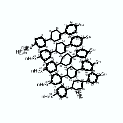 CCCCCCc1ccc(C2CC=C(c3ccc([S])cc3)CC2)cc1.CCCCCCc1ccc(C2CC=C(c3ccc([S])cc3)CC2)cc1.CCCCCCc1ccc(C2CC=C(c3ccc([S])cc3)CC2)cc1.CCCCCCc1ccc(C2CC=C(c3ccc([S])cc3)CC2)cc1.CCCCCCc1ccc(C2CC=C(c3ccc([S])cc3)CC2)cc1.F.F.F.F.F